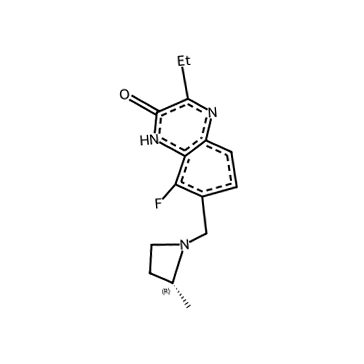 CCc1nc2ccc(CN3CC[C@H]3C)c(F)c2[nH]c1=O